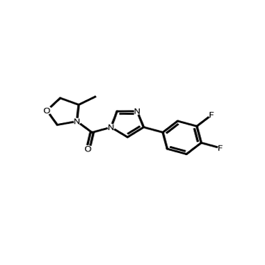 CC1COCN1C(=O)n1cnc(-c2ccc(F)c(F)c2)c1